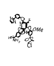 COc1cc(C(=O)OC(C)CCl)ccc1Oc1c(F)c(Oc2cccc(-c3nccn3C)c2)nc(Oc2cc(C(=N)N)ccc2O)c1F